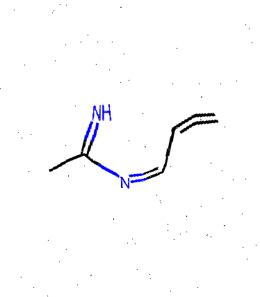 C=C/C=N\C(C)=N